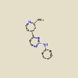 COc1cc(-c2ccnc(Nc3ccccc3)n2)ccn1